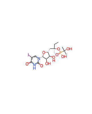 CC[C@](C)(C[C@H]1O[C@@H](n2cc(I)c(=O)[nH]c2=O)[C@H](O)[C@@H]1O)OP(=O)(O)C(C)(C)O